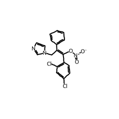 O=[N+]([O-])O/C(=C(/Cn1ccnc1)c1ccccc1)c1ccc(Cl)cc1Cl